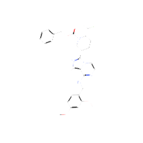 COc1ccc(CNc2nccn3c([C@@H]4CC[C@@H](C(F)F)N(C(=O)OCc5ccccc5)C4)nc(Br)c23)c(OC)c1